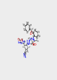 Cn1c(C(=O)Nc2ccc(C#N)cc2-c2noc(=O)[nH]2)cc2cccc(OCc3ccccc3)c21